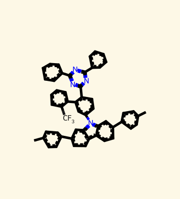 Cc1ccc(-c2ccc3c4ccc(-c5ccc(C)cc5)cc4n(-c4ccc(-c5nc(-c6ccccc6)nc(-c6ccccc6)n5)c(-c5ccccc5C(F)(F)F)c4)c3c2)cc1